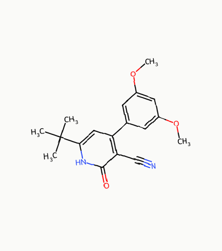 COc1cc(OC)cc(-c2cc(C(C)(C)C)[nH]c(=O)c2C#N)c1